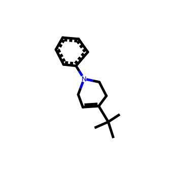 CC(C)(C)C1=CCN(c2ccccc2)CC1